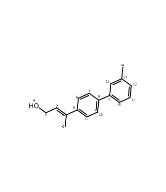 C/C(=C\CO)c1ccc(-c2cccc(C)c2)cc1